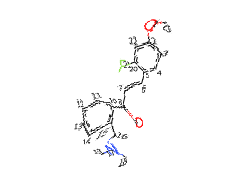 COc1ccc(/C=C/C(=O)c2ccccc2CN(C)C)c(F)c1